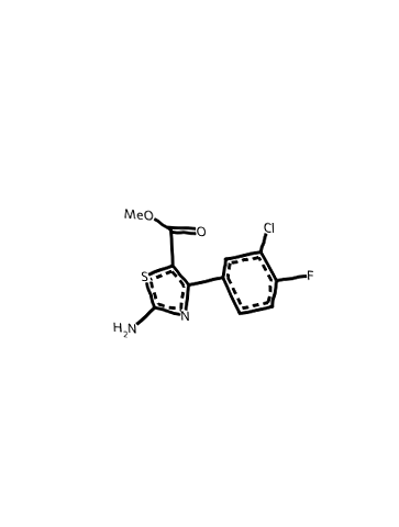 COC(=O)c1sc(N)nc1-c1ccc(F)c(Cl)c1